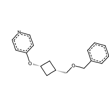 c1ccc(COC[C@H]2C[C@@H](Oc3ccncc3)C2)cc1